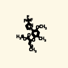 CO/C=C(\Oc1cc(-n2ccc(C(F)(F)F)n2)c(OC)cc1C)C(=O)OC